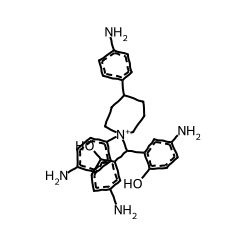 Nc1ccc(C2CCC[N+](c3ccc(N)cc3)(C(c3cc(N)ccc3O)c3cc(N)ccc3O)CC2)cc1